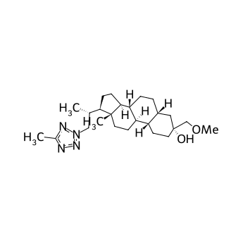 COC[C@@]1(O)CC[C@H]2[C@H](CC[C@@H]3[C@@H]2CC[C@]2(C)[C@@H]([C@@H](C)Cn4nnc(C)n4)CC[C@@H]32)C1